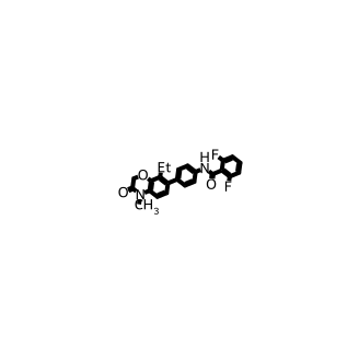 CCc1c(-c2ccc(NC(=O)c3c(F)cccc3F)cc2)ccc2c1OCC(=O)N2C